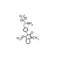 COC(=O)[C@@H](N)Cc1ccc(-c2c(OC)c3ccccc3n(C)c2=O)cc1